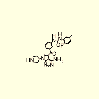 Cc1ccc(F)c(NC(=O)Nc2cccc(C(=O)c3cn(C4CCNCC4)c4ncnc(N)c34)c2)c1